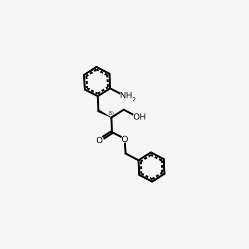 Nc1ccccc1C[C@@H](CO)C(=O)OCc1ccccc1